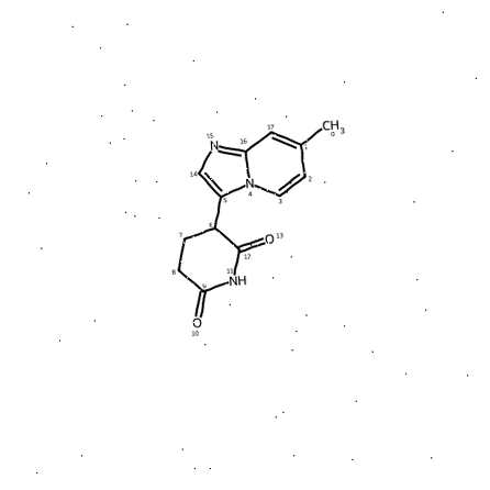 Cc1ccn2c(C3CCC(=O)NC3=O)cnc2c1